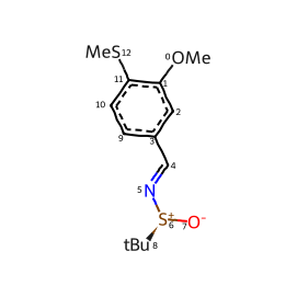 COc1cc(/C=N/[S@@+]([O-])C(C)(C)C)ccc1SC